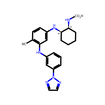 N#Cc1ccc(N[C@@H]2CCCC[C@@H]2NC(=O)O)cc1Nc1cccc(-n2nccn2)c1